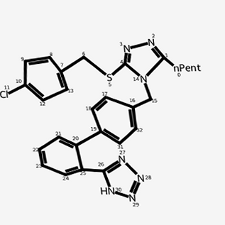 CCCCCc1nnc(SCc2ccc(Cl)cc2)n1Cc1ccc(-c2ccccc2-c2nnn[nH]2)cc1